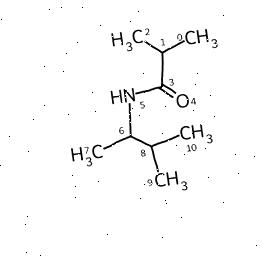 CC(C)C(=O)NC(C)C(C)C